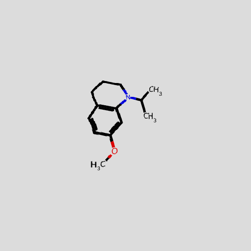 COc1ccc2c(c1)N(C(C)C)CCC2